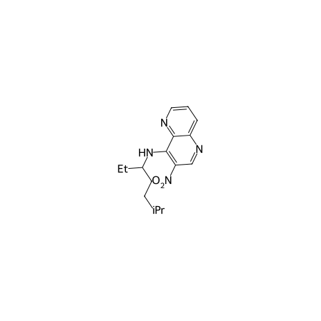 CCC(CCC(C)C)Nc1c([N+](=O)[O-])cnc2cccnc12